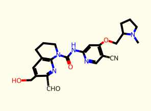 CN1CCCC1COc1cc(NC(=O)N2CCCc3cc(CO)c(C=O)nc32)ncc1C#N